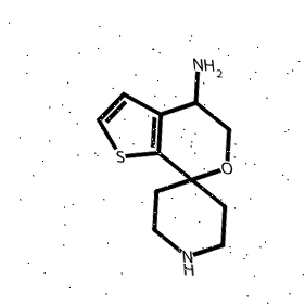 NC1COC2(CCNCC2)c2sccc21